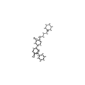 O=c1ccc(-c2ccc(OCCCN3CCCCC3)c(F)c2)nn1-c1ccccc1